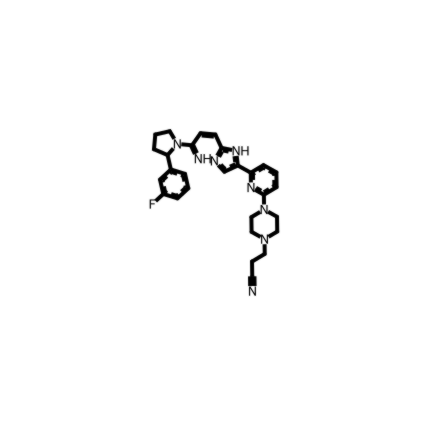 N#CCCN1CCN(c2cccc(-c3cnc(/C=C\C(=N)N4CCCC4c4cccc(F)c4)[nH]3)n2)CC1